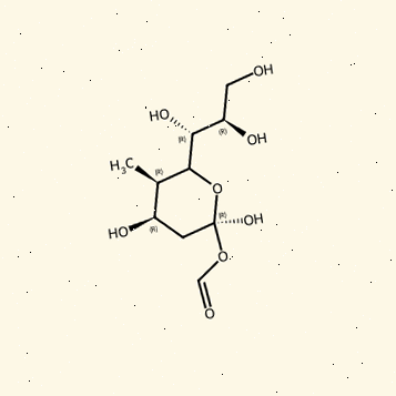 C[C@H]1C([C@H](O)[C@H](O)CO)O[C@@](O)(OC=O)C[C@H]1O